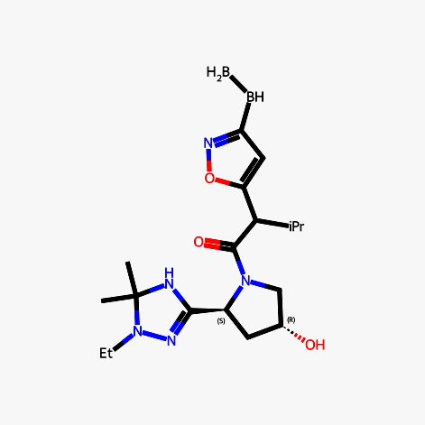 BBc1cc(C(C(=O)N2C[C@H](O)C[C@H]2C2=NN(CC)C(C)(C)N2)C(C)C)on1